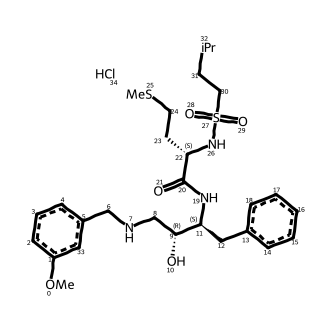 COc1cccc(CNC[C@@H](O)[C@H](Cc2ccccc2)NC(=O)[C@H](CCSC)NS(=O)(=O)CCC(C)C)c1.Cl